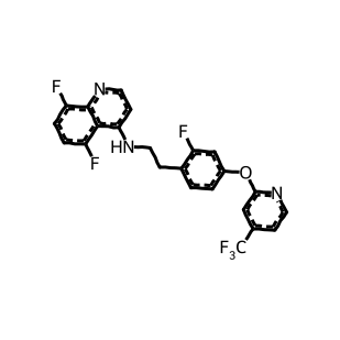 Fc1cc(Oc2cc(C(F)(F)F)ccn2)ccc1CCNc1ccnc2c(F)ccc(F)c12